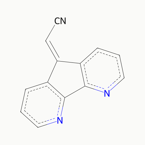 N#CC=C1c2cccnc2-c2ncccc21